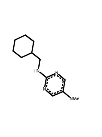 CNc1cnc(NCC2CCCCC2)nc1